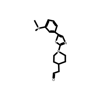 CN(C)c1cccc(-c2cnc(N3CCC(CC=O)CC3)s2)c1